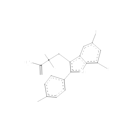 NC(=O)C(F)(F)Cc1c(-c2ccc(F)cc2)[nH]c2c(F)cc(F)cc12